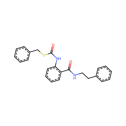 O=C(Nc1ccccc1C(=O)NCCc1ccccc1)SCc1ccccc1